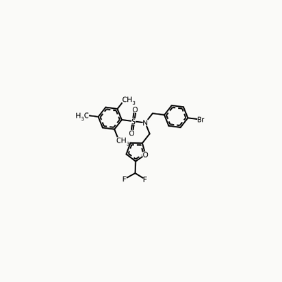 Cc1cc(C)c(S(=O)(=O)N(Cc2ccc(Br)cc2)Cc2ccc(C(F)F)o2)c(C)c1